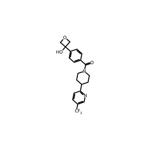 O=C(c1ccc(C2(O)COC2)cc1)N1CCC(c2ccc(C(F)(F)F)cn2)CC1